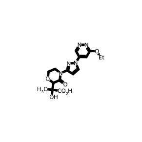 CCOc1cc(-n2ccc(N3CCOC(C(C)(O)C(=O)O)C3=O)n2)cnn1